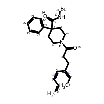 C=C/C=C\C(=C/C)CCC(=O)N1CCC(C(=O)NC(C)CC)(c2ccccc2)CC1